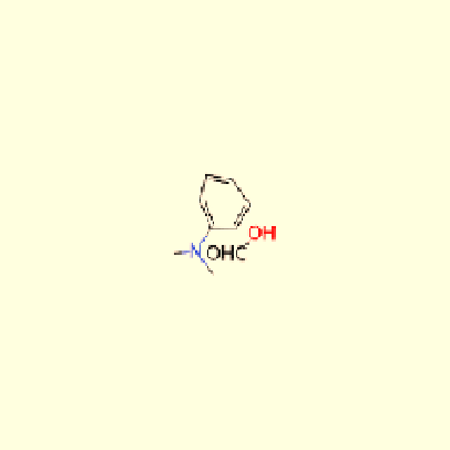 CN(C)c1ccccc1.O=CO